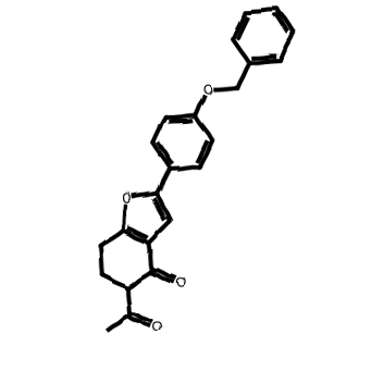 CC(=O)C1CCc2oc(-c3ccc(OCc4ccccc4)cc3)cc2C1=O